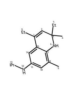 CCC1=CC(C)(CC)Nc2c(C)cc(NC(C)C)cc21